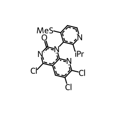 CSc1ccnc(C(C)C)c1-n1c(=O)nc(Cl)c2cc(Cl)c(Cl)nc21